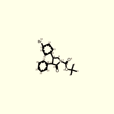 CC(C)(C)OC(=O)N1CC(c2ccc(Br)cc2)C(c2ccccc2)C1=O